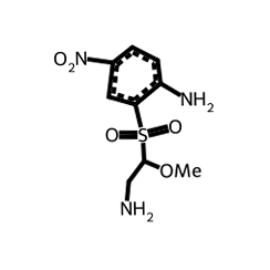 COC(CN)S(=O)(=O)c1cc([N+](=O)[O-])ccc1N